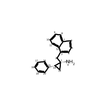 N[C@]1(Cc2cccc3ccccc23)C[C@@H]1c1ccccc1